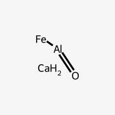 [CaH2].[O]=[Al][Fe]